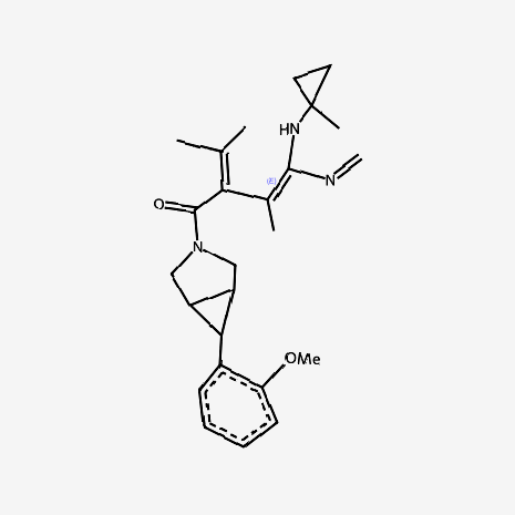 C=N/C(NC1(C)CC1)=C(\C)C(C(=O)N1CC2C(C1)C2c1ccccc1OC)=C(C)C